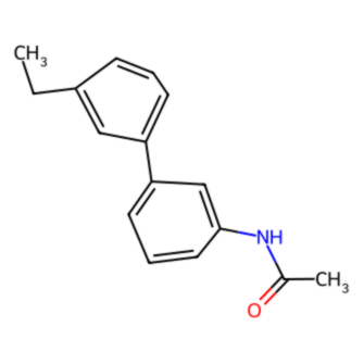 CCc1cccc(-c2cccc(NC(C)=O)c2)c1